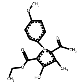 CCOC(=O)c1c(O)c(C)c(C(C)=O)n1-c1ccc(OC)cc1